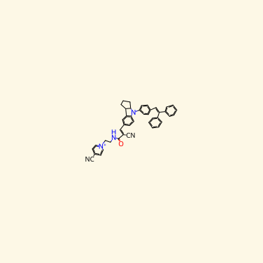 N#C/C(=C\c1ccc2c(c1)C1CCCC1N2c1ccc(C=C(c2ccccc2)c2ccccc2)cc1)C(=O)NCC[n+]1ccc(C#N)cc1